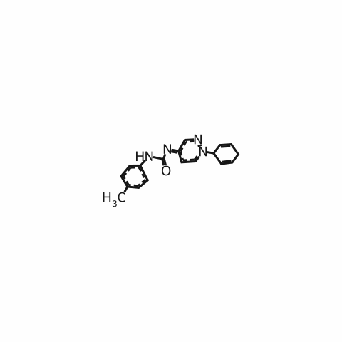 Cc1ccc(NC(=O)N=c2ccn(C3C=CCC=C3)nc2)cc1